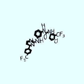 O=C(Nc1cccc(Nc2nccc(-c3ccc(C(F)(F)F)cc3)n2)c1)Nc1ccc(Cl)c(C(F)(F)F)c1